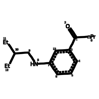 CCCC(=O)c1cccc(NCC(CC)CC)c1